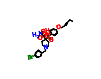 CCC#CCOc1ccc(S(=O)(=O)C2(C(=O)O)CCN(Cc3ccc(Br)cc3)CC2)cc1.NO